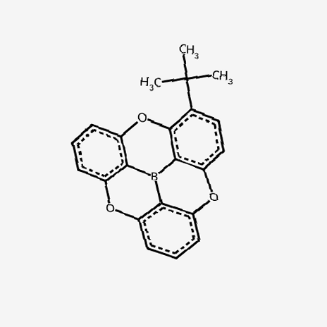 CC(C)(C)c1ccc2c3c1Oc1cccc4c1B3c1c(cccc1O2)O4